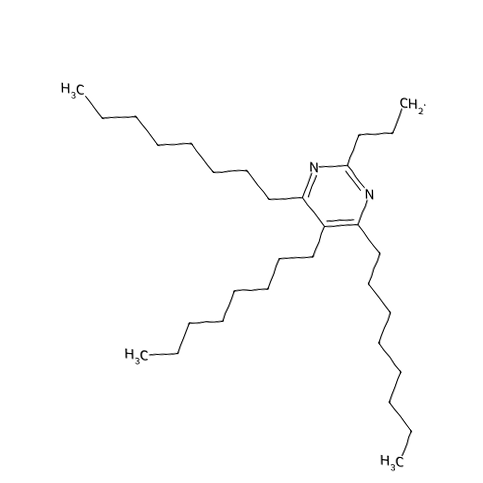 [CH2]CCc1nc(CCCCCCCC)c(CCCCCCCC)c(CCCCCCCC)n1